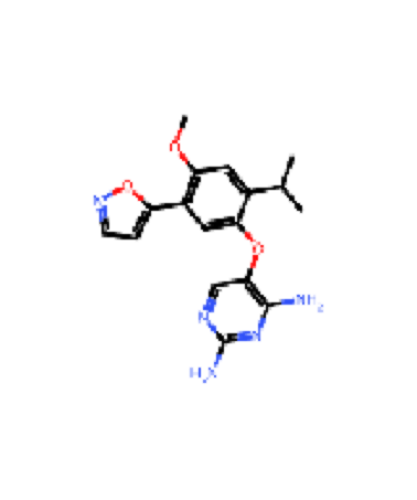 COc1cc(C(C)C)c(Oc2cnc(N)nc2N)cc1-c1ccno1